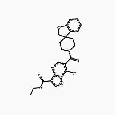 CCOC(=O)c1cnn2c(Cl)c(C(=O)N3CCC4(CC3)COc3ccccc34)cnc12